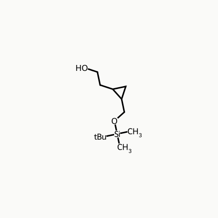 CC(C)(C)[Si](C)(C)OCC1CC1CCO